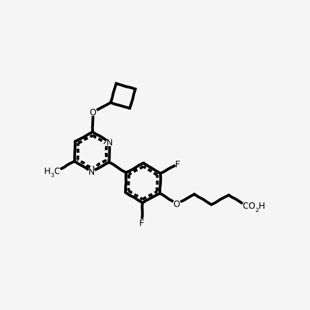 Cc1cc(OC2CCC2)nc(-c2cc(F)c(OCCCC(=O)O)c(F)c2)n1